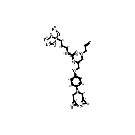 C=CCOCC(COc1ccc(N(CC2CO2)CC2CO2)cc1)OC(=O)NCCC[Si](OCC)(OCC)OCC